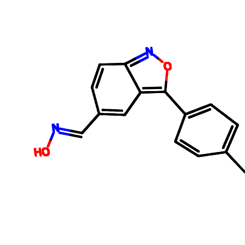 ON=Cc1ccc2noc(-c3ccc(Cl)cc3)c2c1